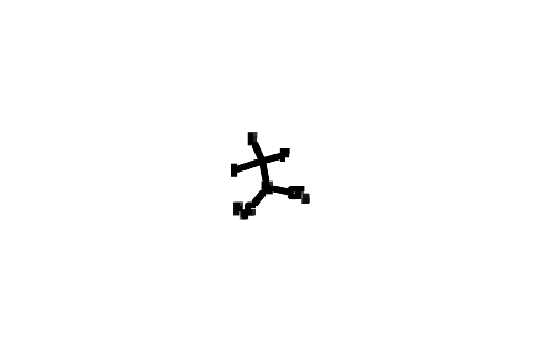 FC(F)(F)N(C(F)(F)F)C(F)(F)I